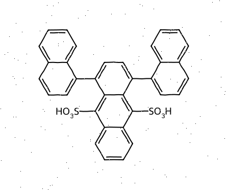 O=S(=O)(O)c1c2ccccc2c(S(=O)(=O)O)c2c(-c3cccc4ccccc34)ccc(-c3cccc4ccccc34)c12